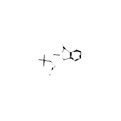 CC(C)(C)[C@@H](CN1Cc2ccccc2C1=O)N=C=O